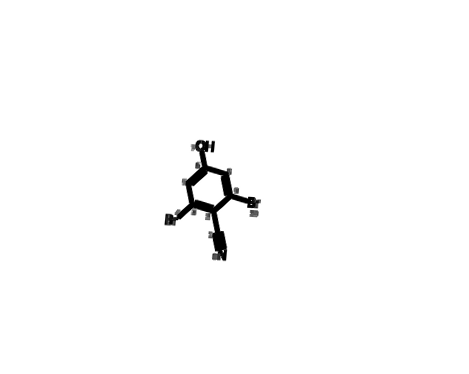 N#Cc1c(Br)cc(O)cc1Br